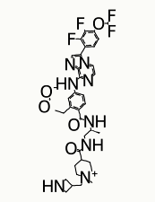 CCc1cc(Nc2nccn3c(-c4ccc(OC(F)F)c(F)c4F)cnc23)ccc1C(=O)N[C@@H](C)CNC(=O)C1CC[N+](C)(CC2CNC2)CC1.O=C[O-]